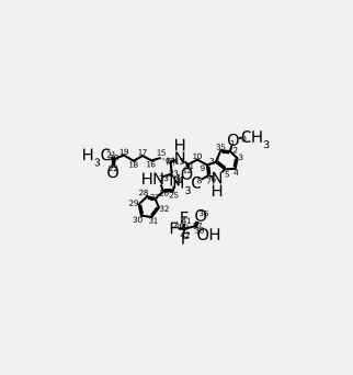 COc1ccc2[nH]c(C)c(CC(=O)N[C@@H](CCCCCC(C)=O)c3ncc(-c4ccccc4)[nH]3)c2c1.O=C(O)C(F)(F)F